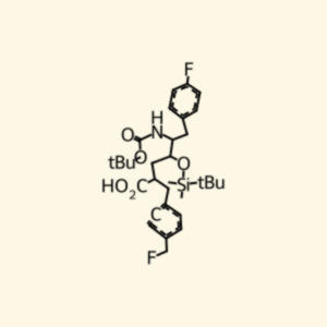 CC(C)(C)OC(=O)NC(Cc1ccc(F)cc1)C(CC(Cc1ccc(CF)cc1)C(=O)O)O[Si](C)(C)C(C)(C)C